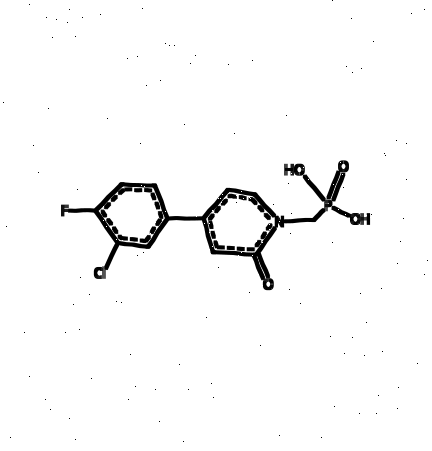 O=c1cc(-c2ccc(F)c(Cl)c2)ccn1CP(=O)(O)O